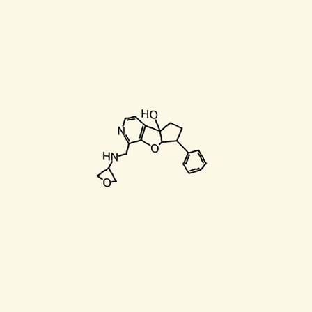 OC12CCC(c3ccccc3)C1Oc1c2ccnc1CNC1COC1